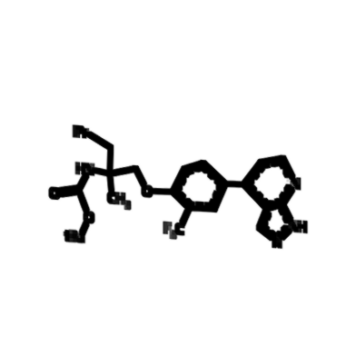 CC(C)CC(C)(COc1ccc(-c2ccnc3[nH]ncc23)cc1C(F)(F)F)NC(=O)OC(C)(C)C